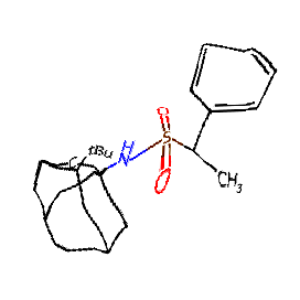 CC(c1ccccc1)S(=O)(=O)NC12CC3CC(C1)C(C(C)(C)C)C(C3)C2